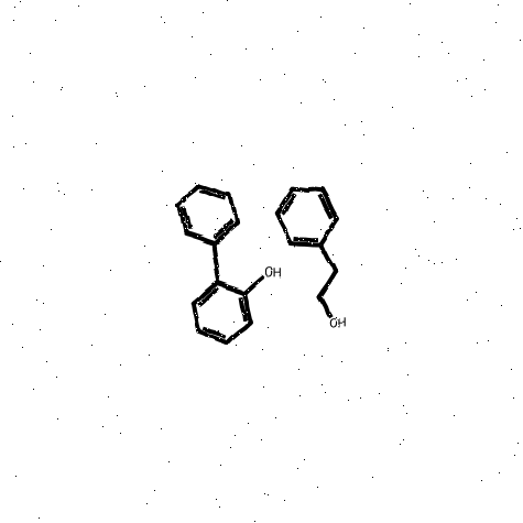 OCCc1ccccc1.Oc1ccccc1-c1ccccc1